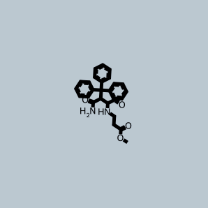 COC(=O)CCNC(C=O)C(C(N)=O)C(c1ccccc1)(c1ccccc1)c1ccccc1